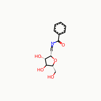 O=C(/N=B/[C@@H]1O[C@H](CO)C(O)[C@@H]1O)c1ccccc1